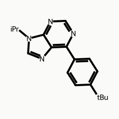 CC(C)n1cnc2c(-c3ccc(C(C)(C)C)cc3)ncnc21